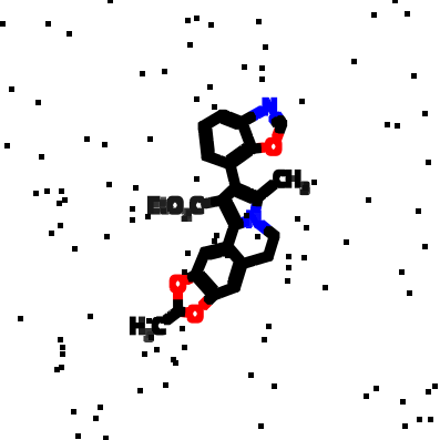 CCOC(=O)c1c(-c2cccc3ncoc23)c(C)n2c1-c1cc3c(cc1CC2)OC(C)O3